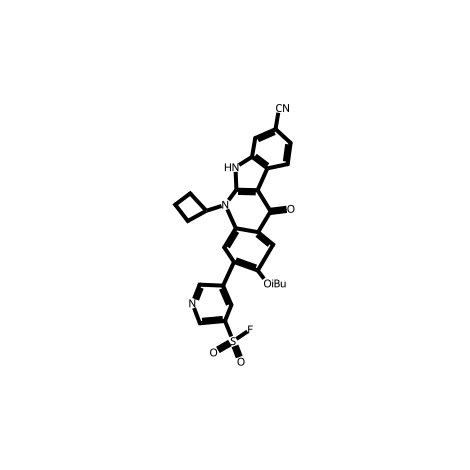 CC(C)COc1cc2c(=O)c3c4ccc(C#N)cc4[nH]c3n(C3CCC3)c2cc1-c1cncc(S(=O)(=O)F)c1